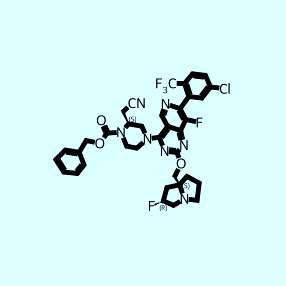 N#CC[C@H]1CN(c2nc(OC[C@@]34CCCN3C[C@H](F)C4)nc3c(F)c(-c4cc(Cl)ccc4C(F)(F)F)ncc23)CCN1C(=O)OCc1ccccc1